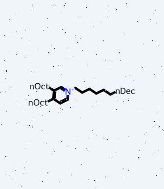 CCCCCCCCCCCCCCCC[n+]1ccc(CCCCCCCC)c(CCCCCCCC)c1